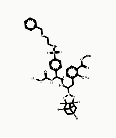 COc1c(CC(NC(=O)C(NC(=O)OC(C)(C)C)c2ccc(S(=O)(=O)NCCOCc3ccccc3)cc2)B2O[C@@H]3C[C@@H]4C[C@@H](C4(C)C)[C@]3(C)O2)cccc1C(=O)OC(C)(C)C